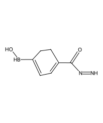 N=NC(=O)C1=CC=C(BO)CC1